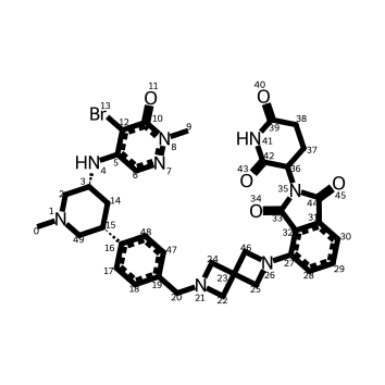 CN1C[C@H](Nc2cnn(C)c(=O)c2Br)C[C@H](c2ccc(CN3CC4(C3)CN(c3cccc5c3C(=O)N(C3CCC(=O)NC3=O)C5=O)C4)cc2)C1